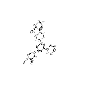 Fc1ccc(-c2nc(N3CCOCC3)nc(N3CCN(c4ncccc4Cl)CC3)n2)cc1Cl